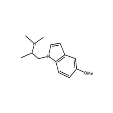 COc1ccc2c(ccn2CC(C)N(C)C)c1